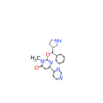 Cn1c(OC(c2ccccc2)[C@H]2CCNC2)nc(-c2ccncn2)cc1=O